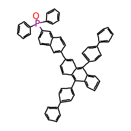 O=P(c1ccccc1)(c1ccccc1)c1ccc2cc(-c3ccc4c(-c5ccc(-c6ccccc6)cc5)c5ccccc5c(-c5ccc(-c6ccccc6)cc5)c4c3)ccc2c1